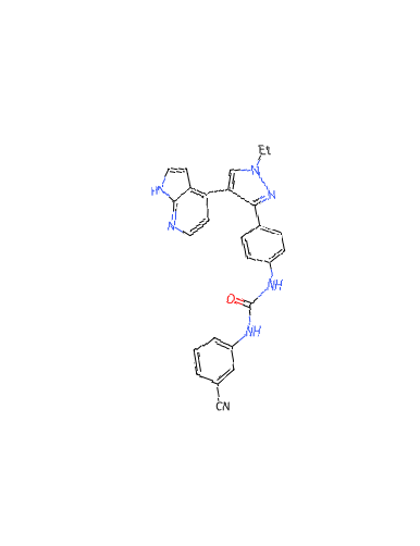 CCn1cc(-c2ccnc3[nH]ccc23)c(-c2ccc(NC(=O)Nc3cccc(C#N)c3)cc2)n1